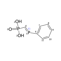 O=P(O)(O)/C=P/c1ccccc1